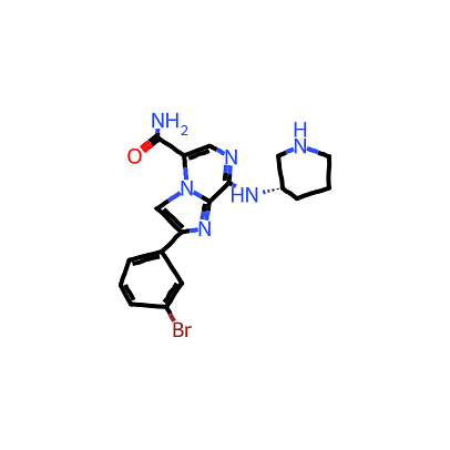 NC(=O)c1cnc(N[C@H]2CCCNC2)c2nc(-c3cccc(Br)c3)cn12